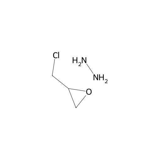 ClCC1CO1.NN